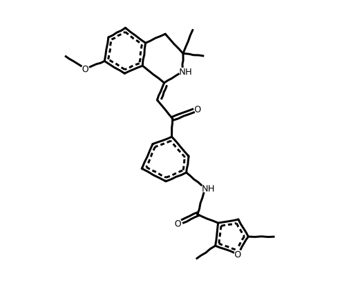 COc1ccc2c(c1)C(=CC(=O)c1cccc(NC(=O)c3cc(C)oc3C)c1)NC(C)(C)C2